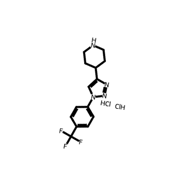 Cl.Cl.FC(F)(F)c1ccc(-n2cc(C3CCNCC3)nn2)cc1